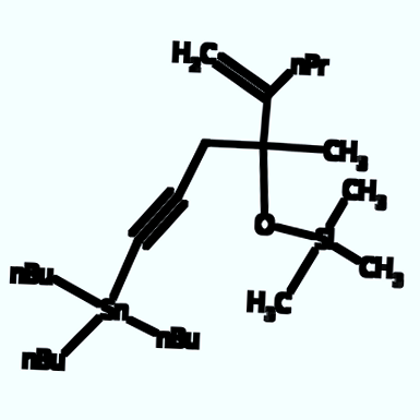 C=C(CCC)C(C)(CC#[C][Sn]([CH2]CCC)([CH2]CCC)[CH2]CCC)O[Si](C)(C)C